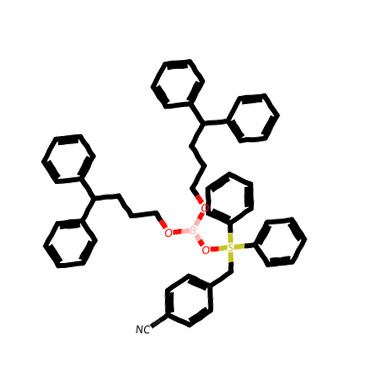 N#Cc1ccc(CS(OB(OCCCC(c2ccccc2)c2ccccc2)OCCCC(c2ccccc2)c2ccccc2)(c2ccccc2)c2ccccc2)cc1